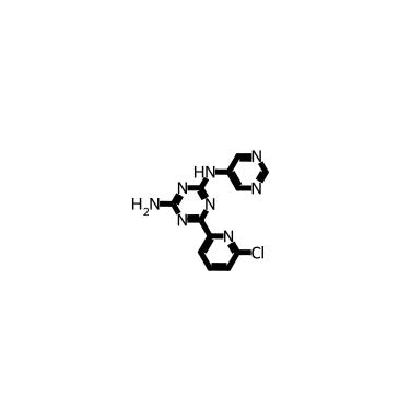 Nc1nc(Nc2cncnc2)nc(-c2cccc(Cl)n2)n1